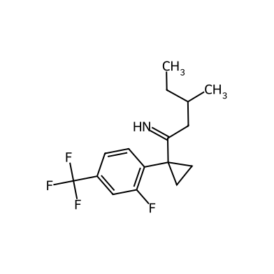 CCC(C)CC(=N)C1(c2ccc(C(F)(F)F)cc2F)CC1